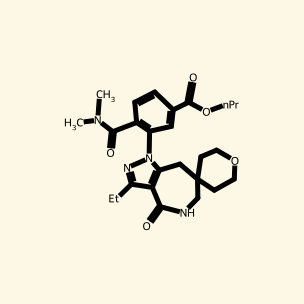 CCCOC(=O)c1ccc(C(=O)N(C)C)c(-n2nc(CC)c3c2CC2(CCOCC2)CNC3=O)c1